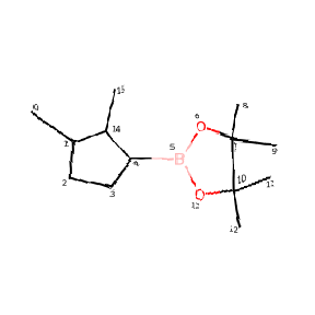 C[C]1CCC(B2OC(C)(C)C(C)(C)O2)C1C